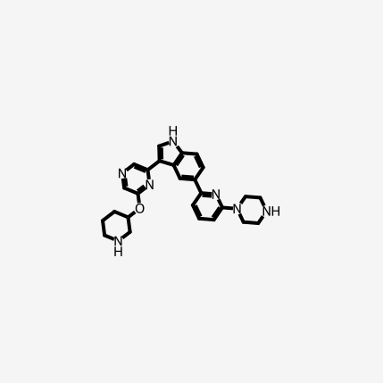 c1cc(-c2ccc3[nH]cc(-c4cncc(OC5CCCNC5)n4)c3c2)nc(N2CCNCC2)c1